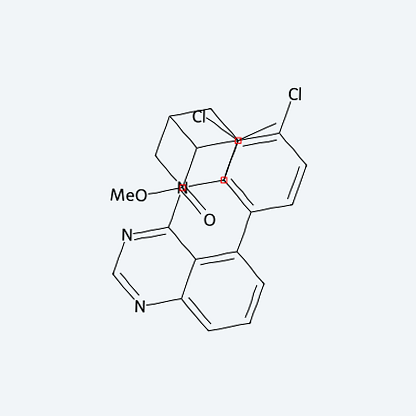 COC(=O)C1C2CN(c3ncnc4cccc(-c5ccc(Cl)c(Cl)c5)c34)CC1(C)C2